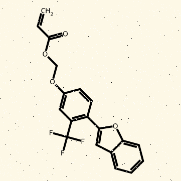 C=CC(=O)OCOc1ccc(-c2cc3ccccc3o2)c(C(F)(F)F)c1